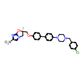 C[C@]1(COc2ccc(-c3ccc(N4CCN(Cc5ccc(Cl)cc5)CC4)cc3)cc2)Cn2cc([N+](=O)[O-])nc2O1